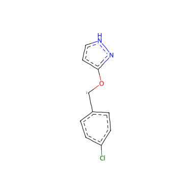 Clc1ccc([C]Oc2cc[nH]n2)cc1